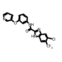 O=C(Nc1cccc(Oc2cccnc2)c1)c1nc2cc(Cl)c(C(F)(F)F)cc2[nH]1